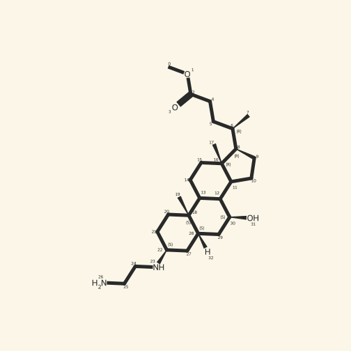 COC(=O)CC[C@@H](C)[C@H]1CCC2C3C(CC[C@@]21C)[C@@]1(C)CC[C@H](NCCN)C[C@H]1C[C@@H]3O